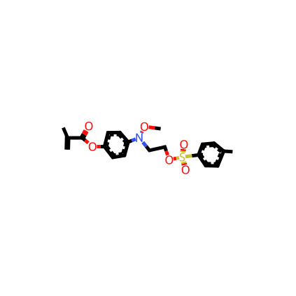 C=C(C)C(=O)Oc1ccc(N(CCOS(=O)(=O)c2ccc(C)cc2)OC)cc1